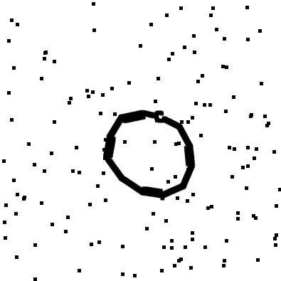 [C]1=CCC=CC=CCCC=CC1